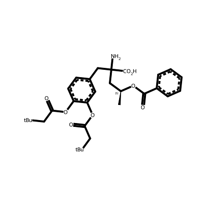 C[C@@H](CC(N)(Cc1ccc(OC(=O)CC(C)(C)C)c(OC(=O)CC(C)(C)C)c1)C(=O)O)OC(=O)c1ccccc1